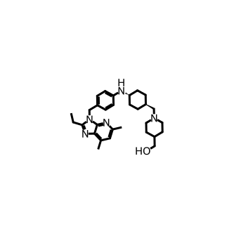 CCc1nc2c(C)cc(C)nc2n1Cc1ccc(N[C@H]2CC[C@H](CN3CCC(CO)CC3)CC2)cc1